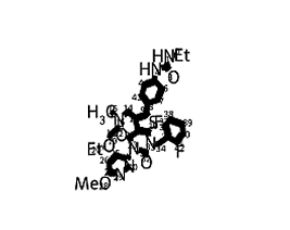 CCNC(=O)Nc1ccc(-c2sc3c(c2CN(C)CCOCC)c(=O)n(-c2ccc(OC)nn2)c(=O)n3Cc2c(F)cccc2F)cc1